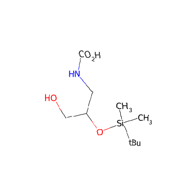 CC(C)(C)[Si](C)(C)OC(CO)CNC(=O)O